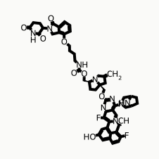 C#Cc1c(F)ccc2cc(O)cc(-c3ncc4c(N5CC6CCC(C5)N6)nc(OC[C@@]56CC[C@@H](COC(=O)NCCCCOc7cccc8c7CN(C7CCC(=O)NC7=O)C8=O)N5CC(=C)C6)nc4c3F)c12